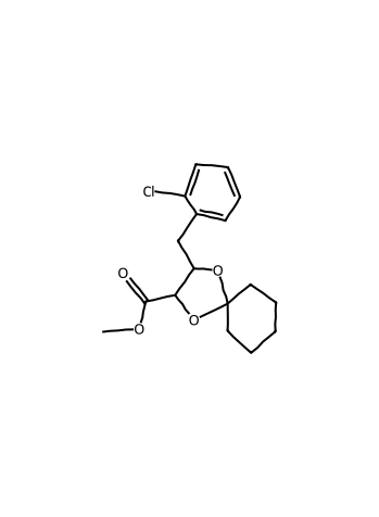 COC(=O)C1OC2(CCCCC2)OC1Cc1ccccc1Cl